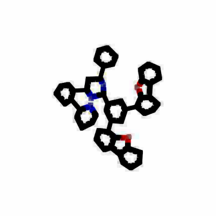 c1ccc(-c2cc(-c3ccccc3-c3ccccn3)nc(-c3cc(-c4cccc5c4oc4ccccc45)cc(-c4cccc5c4oc4ccccc45)c3)n2)cc1